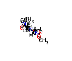 CCOC(=O)N1C[C@@H]2CC[C@H]1CC2N1C[C@@H]2[C@H](C1)[C@H]2C(=O)N(CC)CC